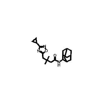 CC(C)(CC(=O)NC1C2CC3CC(C2)CC1C3)Cc1nc(C2CC2)no1